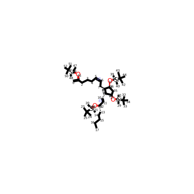 C=C(CCC/C=C\C[C@@H]1[C@@H](/C=C/[C@H](CCCCC)O[Si](C)(C)C(C)(C)C)[C@H](O[Si](C)(C)C(C)(C)C)C[C@@H]1O[Si](C)(C)C(C)(C)C)O[Si](C)(C)C(C)(C)C